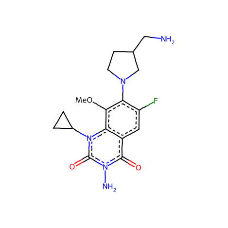 COc1c(N2CCC(CN)C2)c(F)cc2c(=O)n(N)c(=O)n(C3CC3)c12